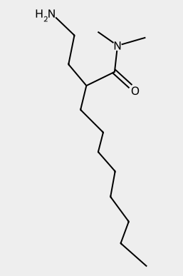 CCCCCCCCC(CCN)C(=O)N(C)C